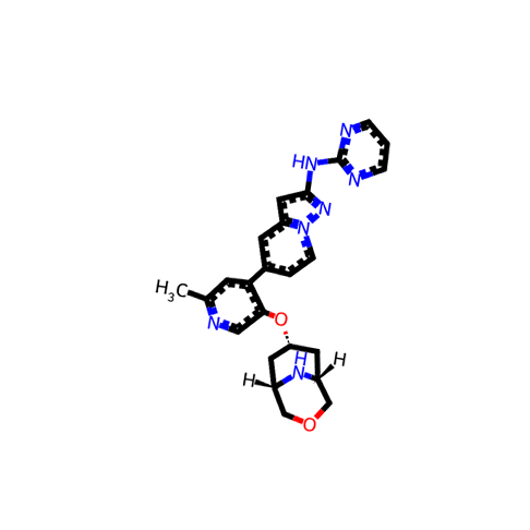 Cc1cc(-c2ccn3nc(Nc4ncccn4)cc3c2)c(O[C@H]2C[C@H]3COC[C@@H](C2)N3)cn1